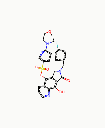 O=C1c2c(c(OS(=O)(=O)c3ccc(N4CCOCC4)nc3)c3cccnc3c2O)CN1Cc1ccc(F)cc1